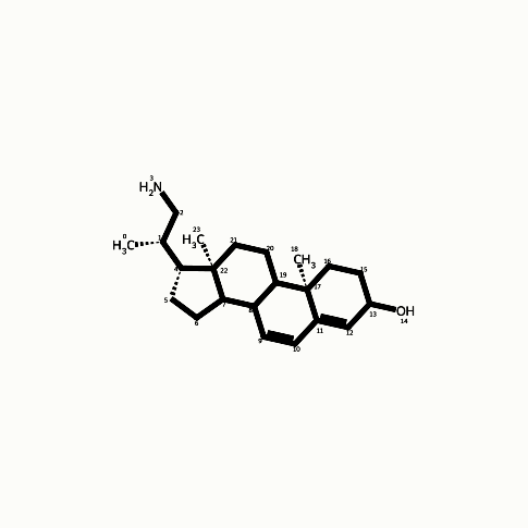 C[C@H](CN)[C@H]1CCC2C3C=CC4=CC(O)CC[C@]4(C)C3CC[C@@]21C